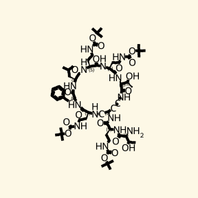 CC(C)C[C@@H]1NC(=O)[C@@H](Cc2ccccc2)NC(=O)[C@H](CCNC(=O)OC(C)(C)C)NC[C@@H](NC(=O)[C@H](CCNC(=O)OC(C)(C)C)NC(=O)[C@@H](N)C(C)O)CCNC(=O)[C@H]([C@H](C)O)NC(=O)[C@H](CCNC(=O)OC(C)(C)C)NC(=O)[C@H](CCNC(=O)OC(C)(C)C)NC1=O